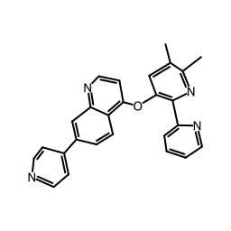 Cc1cc(Oc2ccnc3cc(-c4ccncc4)ccc23)c(-c2ccccn2)nc1C